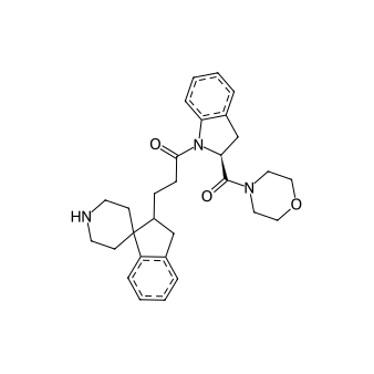 O=C([C@@H]1Cc2ccccc2N1C(=O)CCC1Cc2ccccc2C12CCNCC2)N1CCOCC1